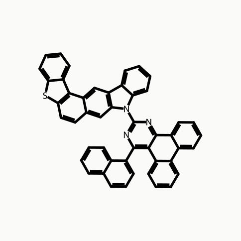 c1ccc2c(-c3nc(-n4c5ccccc5c5cc6c(ccc7sc8ccccc8c76)cc54)nc4c5ccccc5c5ccccc5c34)cccc2c1